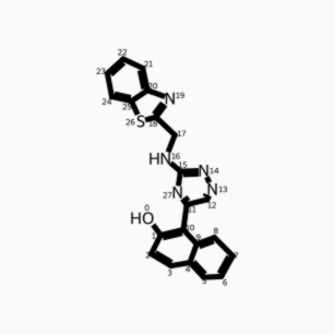 Oc1ccc2ccccc2c1-c1cnnc(NCc2nc3ccccc3s2)n1